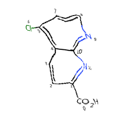 O=C(O)c1ccc2c(Cl)ccnc2n1